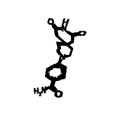 NC(=O)c1ccc(N2CCC3(CC2)CC(=O)NC(=O)C3)cc1